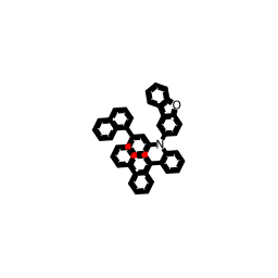 c1cc(-c2cccc3ccccc23)cc(N(c2ccc3oc4ccccc4c3c2)c2ccccc2-c2cc3ccccc3c3ccccc23)c1